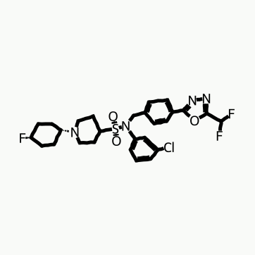 O=S(=O)(C1CCN([C@H]2CC[C@@H](F)CC2)CC1)N(Cc1ccc(-c2nnc(C(F)F)o2)cc1)c1cccc(Cl)c1